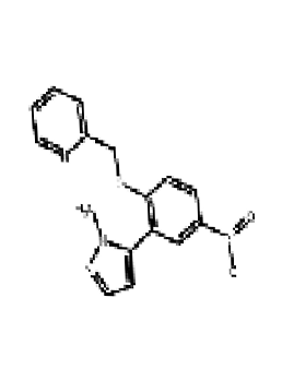 Cn1nccc1-c1cc([N+](=O)[O-])ccc1OCc1ccccn1